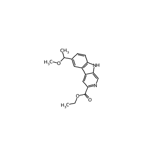 CCOC(=O)c1cc2c(cn1)[nH]c1ccc(C(C)OC)cc12